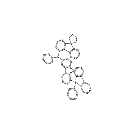 c1ccc(N(c2ccc3oc4c(C5(c6ccccc6)c6ccccc6-c6ccccc65)cccc4c3c2)c2cccc3c2-c2ccccc2C32CCCC2)cc1